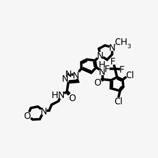 CN1CCN(c2ccc(-n3cc(C(=O)NCCCN4CCOCC4)nn3)cc2NC(=O)c2cc(Cl)cc(Cl)c2C(F)(F)F)CC1